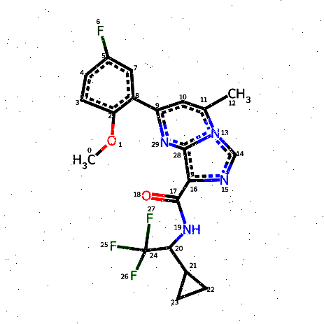 COc1ccc(F)cc1-c1cc(C)n2cnc(C(=O)NC(C3CC3)C(F)(F)F)c2n1